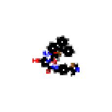 Cc1ncsc1-c1ccc(CNC(=O)[C@@H]2C[C@H](O)CN2C(=O)[C@@H](N)C(C)(C)SC(c2ccccc2)(c2ccccc2)c2ccccc2)cc1